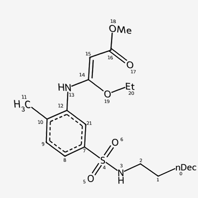 CCCCCCCCCCCCNS(=O)(=O)c1ccc(C)c(N/C(=C/C(=O)OC)OCC)c1